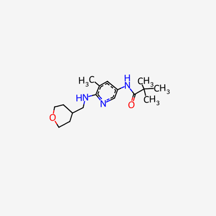 Cc1cc(NC(=O)C(C)(C)C)cnc1NCC1CCOCC1